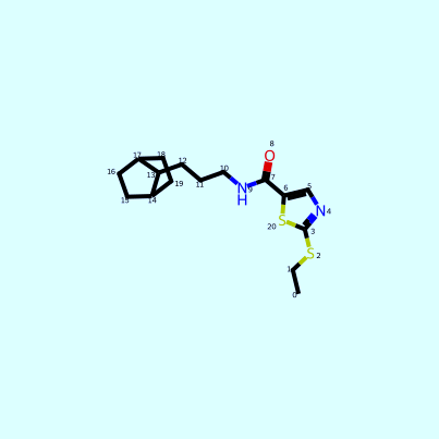 CCSc1ncc(C(=O)NCCCC2C3CCC2CC3)s1